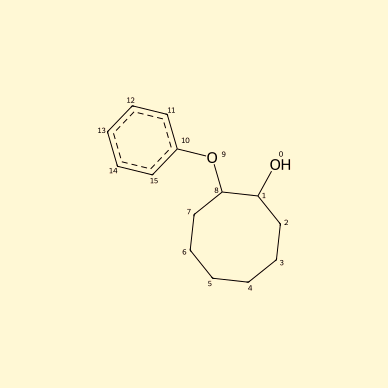 OC1CCCCCCC1Oc1ccccc1